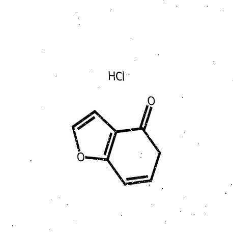 Cl.O=C1CC=Cc2occc21